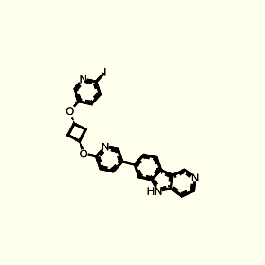 Ic1ccc(O[C@H]2C[C@H](Oc3ccc(-c4ccc5c(c4)[nH]c4ccncc45)cn3)C2)cn1